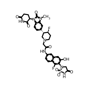 Cn1c(=O)n(C2CCC(=O)NC2=O)c2ccc([C@H]3CN(CC(=O)Nc4ccc5c(F)c(N6CC(=O)NS6(=O)=O)c(O)cc5c4)CC[C@@H]3F)cc21